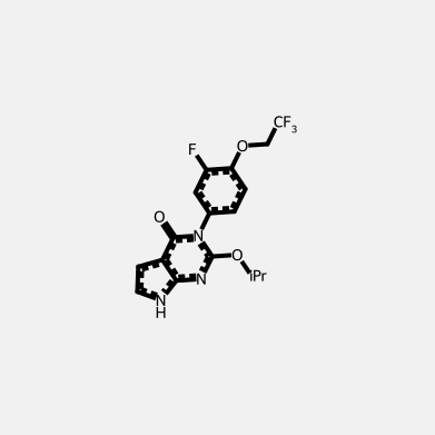 CC(C)Oc1nc2[nH]ccc2c(=O)n1-c1ccc(OCC(F)(F)F)c(F)c1